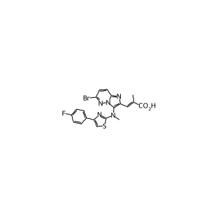 CC(=Cc1nc2ccc(Br)nn2c1N(C)c1nc(-c2ccc(F)cc2)cs1)C(=O)O